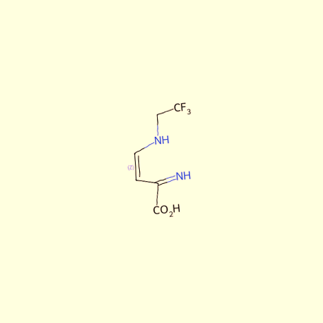 N=C(/C=C\NCC(F)(F)F)C(=O)O